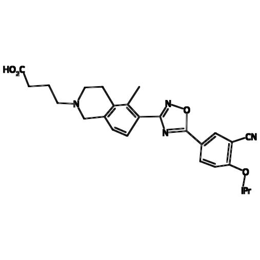 Cc1c(-c2noc(-c3ccc(OC(C)C)c(C#N)c3)n2)ccc2c1CCN(CCCC(=O)O)C2